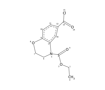 CCOC(=O)N1CCOc2ccc(C(=O)Cl)cc21